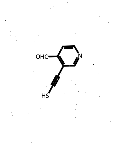 O=Cc1ccncc1C#CS